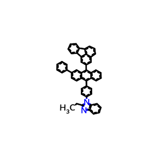 CCc1nc2ccccc2n1-c1ccc(-c2c3ccccc3c(-c3cc4c5c(cccc5c3)-c3ccccc3-4)c3cc(-c4ccccc4)ccc23)cc1